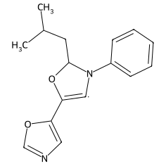 CC(C)CC1OC(c2cnco2)=[C]N1c1ccccc1